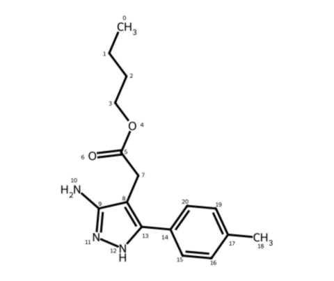 CCCCOC(=O)Cc1c(N)n[nH]c1-c1ccc(C)cc1